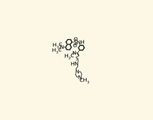 C=N/C(=C\SCNCCN1CCN(C)CC1)c1cccc(NS(=O)(=O)c2cccc3c(N(C)C)cccc23)c1